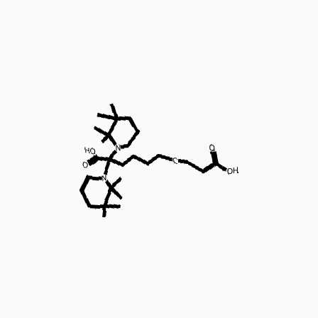 CC1(C)CCCN(C(CCCCCCCC(=O)O)(C(=O)O)N2CCCC(C)(C)C2(C)C)C1(C)C